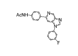 CC(=O)Nc1ccc(-c2cc3c(cn2)ncn3-c2cccc(F)c2)cc1